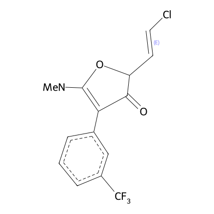 CNC1=C(c2cccc(C(F)(F)F)c2)C(=O)C(/C=C/Cl)O1